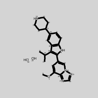 COc1cc(-c2[nH]c3ccc(C4CCNCC4)cc3c2C(C)C)cn2ncnc12.Cl.Cl